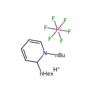 CCCCCCC1C=CC=CN1CCCC.F[P-](F)(F)(F)(F)F.[H+]